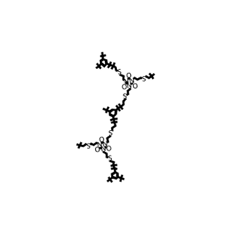 CC(C)(C)CCSCCCn1c(=O)n(CCCSCCCC(C)(C)C(C)(C)c2cc(C(C)(C)C)cc(C(C)(C)C(C)(C)CCCSCCCn3c(=O)n(CCCSCCC(C)(C)C)c(=O)n(CCCSCCC(C)(C)C(C)(C)c4cc(C(C)(C)C)cc(C(C)(C)C)c4)c3=O)c2)c(=O)n(CCCSCCC(C)(C)C(C)(C)c2cc(C(C)(C)C)cc(C(C)(C)C)c2)c1=O